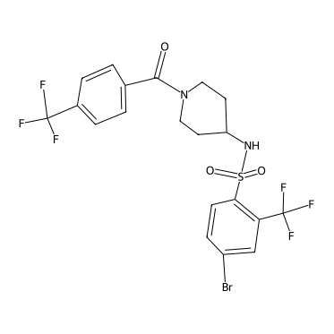 O=C(c1ccc(C(F)(F)F)cc1)N1CCC(NS(=O)(=O)c2ccc(Br)cc2C(F)(F)F)CC1